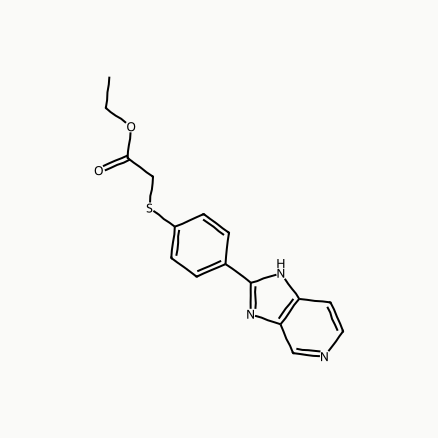 CCOC(=O)CSc1ccc(-c2nc3cnccc3[nH]2)cc1